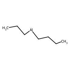 CCC[CH2][Al][CH2]CC